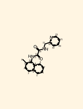 Cc1ccc2ccccc2c1NC(=O)C(=O)NCc1ccccn1